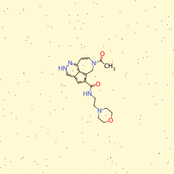 CC(=O)N1C=Cc2n[nH]cc3cc(C(=O)NCCN4CCOCC4)c(c2-3)C1